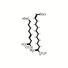 C=C(CC=CCCCCCCCCCCCCCC)C(=O)O.C=C(CCCCCCCCC/C=C\CCCCCCCC)C(=O)O